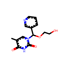 Cc1cn(C(OCCO)c2cccnc2)c(=O)[nH]c1=O